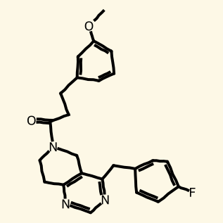 COc1cccc(CCC(=O)N2CCc3ncnc(Cc4ccc(F)cc4)c3C2)c1